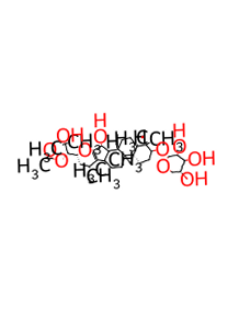 CC(=O)O[C@@H]([C@H]1C[C@@H](C)C2=C(O1)[C@H](O)[C@@]1(C)[C@@H]3CC[C@H]4C(C)(C)[C@@H](OC5OC[C@H](O)[C@H](O)[C@H]5O)CC[C@@]45C[C@@]35CC[C@]21C)C(C)(C)O